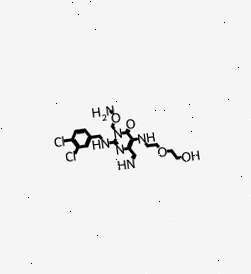 N=Cc1nc(NCc2ccc(Cl)c(Cl)c2)n(CON)c(=O)c1NCCOCCO